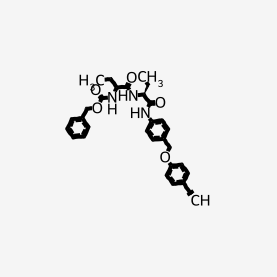 C#Cc1ccc(OCc2ccc(NC(=O)[C@H](CC)NC(=O)C(CC)NC(=O)OCc3ccccc3)cc2)cc1